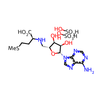 CSCC[C@H](NC[C@H]1O[C@@H](n2cnc3c(N)ncnc32)[C@H](O)[C@@H]1O)C(=O)O.O=S(=O)(O)O.O=S(=O)(O)O